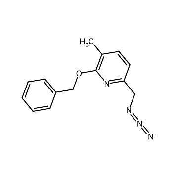 Cc1ccc(CN=[N+]=[N-])nc1OCc1ccccc1